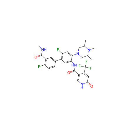 CNC(=O)c1cc(-c2cc(NC(=O)c3c[nH]c(=O)cc3C(F)(F)F)c(N3CC(C)N(C)C(C)C3)cc2F)ccc1F